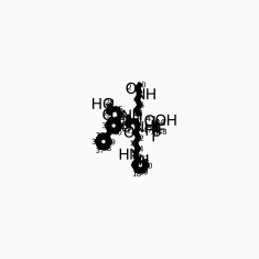 CC(=O)NCCCC[C@H](NC(=O)CCCNc1ccccn1)C(=O)NC(CC(=O)O)c1ccc(-c2ccccc2)cc1.O=C(O)C(F)(F)F